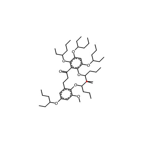 CCCC(CC)Oc1cc(CCC(=O)c2c(OC(CC)CCC)c(OC(CC)CCC)cc(OC(CC)CCC)c2OC(CC)CCC)c(OC(CC)CCC)c(OC)c1